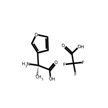 C[C@@](N)(C(=O)O)c1ccoc1.O=C(O)C(F)(F)F